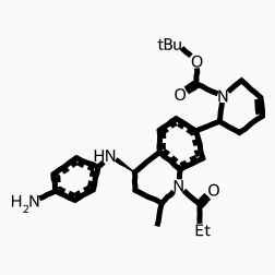 CCC(=O)N1c2cc(C3CC=CCN3C(=O)OC(C)(C)C)ccc2[C@H](Nc2ccc(N)cc2)CC1C